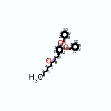 CCCCCCC(=O)/C=C/Cc1ccc(OCc2ccccc2)c(OCc2ccccc2)c1